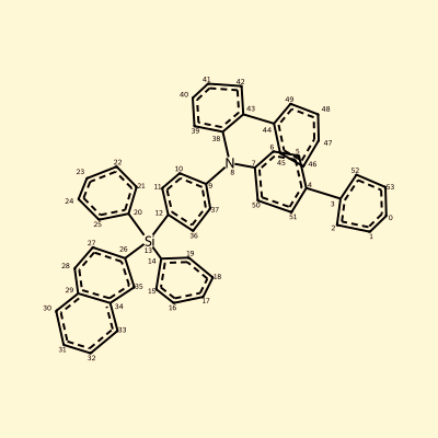 c1ccc(-c2ccc(N(c3ccc([Si](c4ccccc4)(c4ccccc4)c4ccc5ccccc5c4)cc3)c3ccccc3-c3ccccc3)cc2)cc1